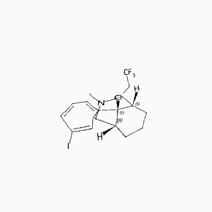 CN1C[C@H]2CCC[C@@H](C1)[C@@]2(OCC(F)(F)F)c1cccc(I)c1